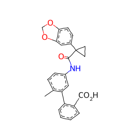 Cc1ccc(NC(=O)C2(c3ccc4c(c3)OCO4)CC2)cc1-c1ccccc1C(=O)O